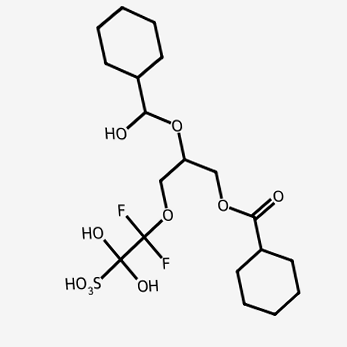 O=C(OCC(COC(F)(F)C(O)(O)S(=O)(=O)O)OC(O)C1CCCCC1)C1CCCCC1